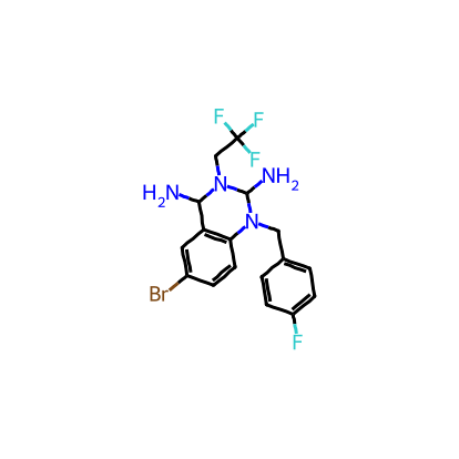 NC1c2cc(Br)ccc2N(Cc2ccc(F)cc2)C(N)N1CC(F)(F)F